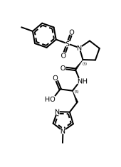 Cc1ccc(S(=O)(=O)N2CCC[C@H]2C(=O)N[C@@H](Cc2cn(C)cn2)C(=O)O)cc1